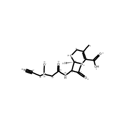 CC1=C(C(=O)O)N2C(=O)C(NC(=O)C[S+]([O-])CC#N)[C@H]2SC1